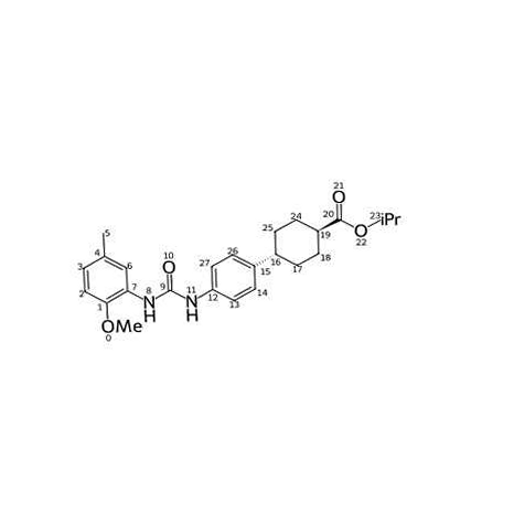 COc1ccc(C)cc1NC(=O)Nc1ccc([C@H]2CC[C@H](C(=O)OC(C)C)CC2)cc1